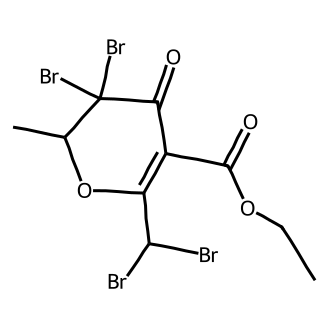 CCOC(=O)C1=C(C(Br)Br)OC(C)C(Br)(Br)C1=O